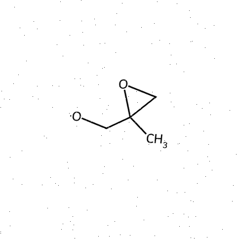 CC1(C[O])CO1